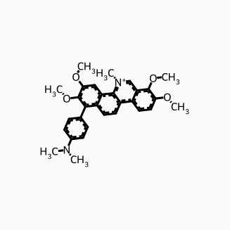 COc1cc2c(ccc3c4ccc(OC)c(OC)c4c[n+](C)c23)c(-c2ccc(N(C)C)cc2)c1OC